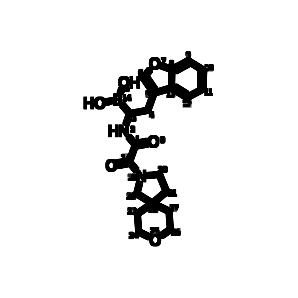 O=C(NC(Cc1coc2ccccc12)B(O)O)C(=O)N1CCC2(CCOCC2)C1